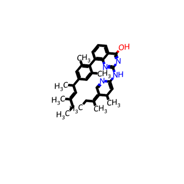 CC/C(C)=C1\C=NC(Nc2nc(O)c3cccc(-c4c(C)cc(C(C)/C=C(\C)CC)cc4C)c3n2)=CC1C